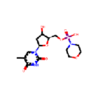 Cc1cn([C@H]2CC(O)[C@@H](COP(=O)(O)N3CCOCC3)O2)c(=O)[nH]c1=O